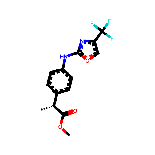 COC(=O)[C@H](C)c1ccc(Nc2nc(C(F)(F)F)co2)cc1